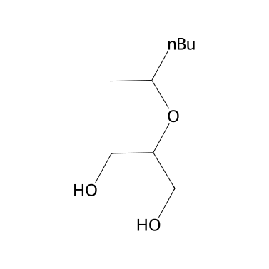 CCCCC(C)OC(CO)CO